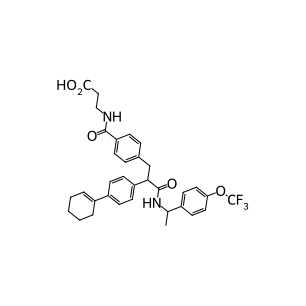 CC(NC(=O)C(Cc1ccc(C(=O)NCCC(=O)O)cc1)c1ccc(C2=CCCCC2)cc1)c1ccc(OC(F)(F)F)cc1